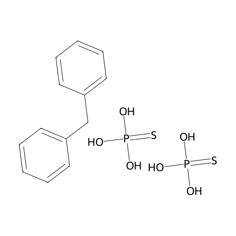 OP(O)(O)=S.OP(O)(O)=S.c1ccc(Cc2ccccc2)cc1